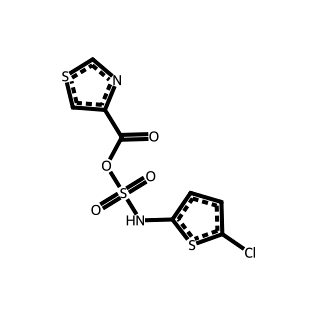 O=C(OS(=O)(=O)Nc1ccc(Cl)s1)c1cscn1